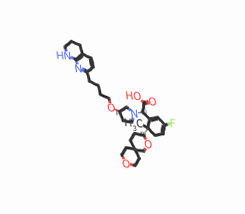 CC1([C@H]2CCC3(CCOCC3)CO2)CC=C(F)C=C1[C@@H](C(=O)O)N1CC[C@@H](OCCCCc2ccc3c(n2)NCCC3)C1